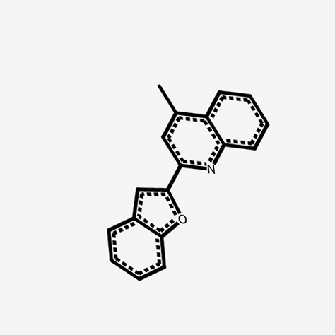 Cc1cc(-c2cc3ccccc3o2)nc2ccccc12